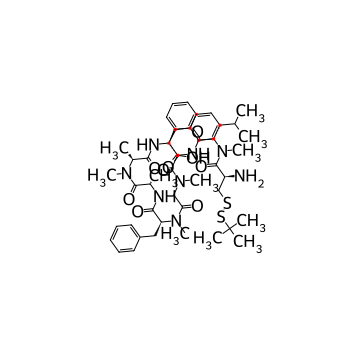 CC(C)C[C@@H](C(=O)N[C@@H](Cc1ccccc1)C(=O)N(C)CC(=O)N(C)[C@@H](Cc1ccccc1)C(=O)N[C@@H](C)C(=O)N(C)[C@@H](C)C(=O)N[C@@H](Cc1ccccc1)C(=O)O)N(C)C(=O)[C@@H](N)CSSC(C)(C)C